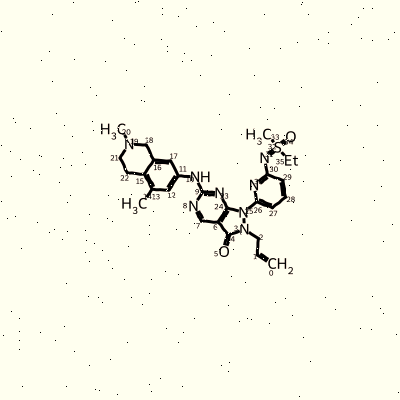 C=CCn1c(=O)c2cnc(Nc3cc(C)c4c(c3)CN(C)CC4)nc2n1-c1cccc(N=S(C)(=O)CC)n1